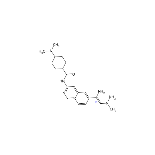 CN(N)/C=C(\N)c1ccc2cnc(NC(=O)C3CCC(N(C)C)CC3)cc2c1